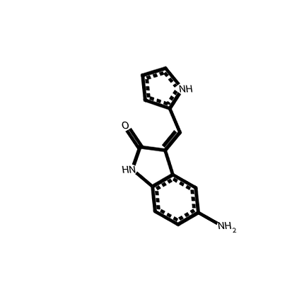 Nc1ccc2c(c1)C(=Cc1ccc[nH]1)C(=O)N2